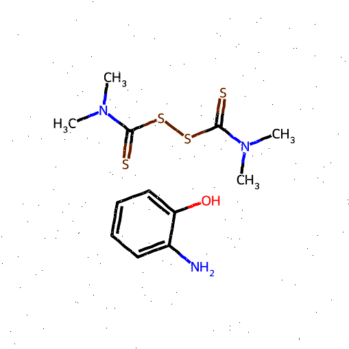 CN(C)C(=S)SSC(=S)N(C)C.Nc1ccccc1O